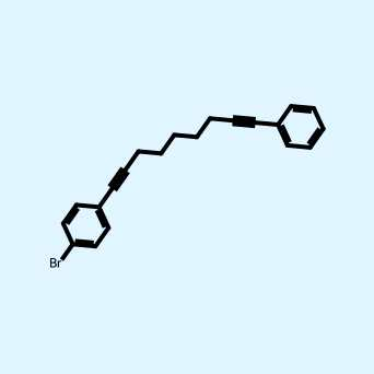 Brc1ccc(C#CCCCCCC#Cc2ccccc2)cc1